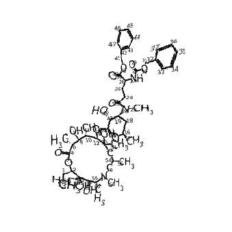 CC[C@H]1OC(=O)[C@H](C)[C@@H](O)[C@H](C)[C@@H](O[C@@H]2O[C@H](C)C[C@H](N(C)C(=O)CCC(NC(=O)OCc3ccccc3)C(=O)OCc3ccccc3)[C@H]2O)[C@](C)(O)C[C@@H](C)CN(C)[C@H](C)[C@@H](O)[C@]1(C)O